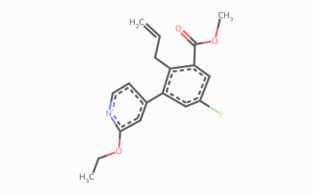 C=CCc1c(C(=O)OC)cc(F)cc1-c1ccnc(OCC)c1